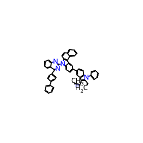 C=Cc1c(/C=C\C)c2cc(-c3ccc4c(c3)c3c5ccccc5ccc3n4-c3nc(-c4ccc(-c5ccccc5)cc4)c4ccccc4n3)ccc2n1-c1ccccc1